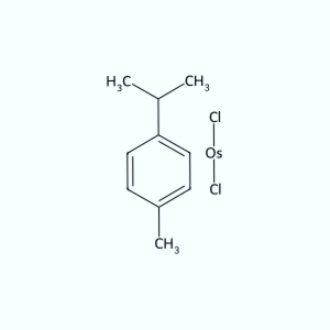 Cc1ccc(C(C)C)cc1.[Cl][Os][Cl]